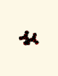 c1ccc(-c2ccc(N(c3ccc(-c4ccccc4)cc3)c3ccc(-c4cc(-c5ccc(N(c6ccc(-c7ccccc7)cc6)c6ccc(-c7ccccc7)cc6)cc5)cc(-c5cccc6c5oc5ccccc56)c4)cc3)cc2)cc1